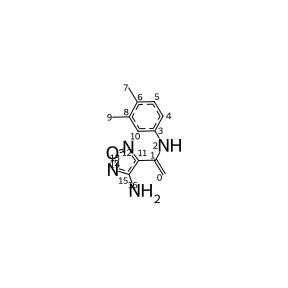 C=C(Nc1ccc(C)c(C)c1)c1nonc1N